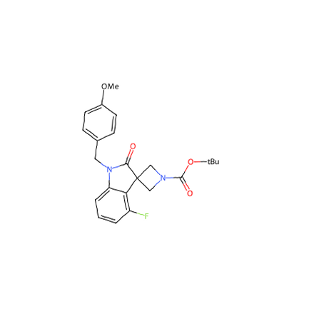 COc1ccc(CN2C(=O)C3(CN(C(=O)OC(C)(C)C)C3)c3c(F)cccc32)cc1